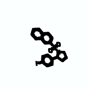 O=S(=O)(c1ccc2ccccc2c1)N1CCCC1c1ccc(F)cc1